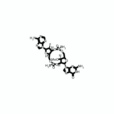 B[P@@]1(=O)OCC2O[C@@H](n3cnc4c(=O)[nH]c(N)nc43)[C@@H](O[P@](B)(=O)OC[C@H]3OC(n4cnc5c(N)ncnc54)[C@@H](F)[C@H]3O1)[C@H]2OC